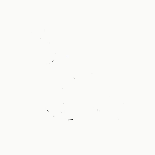 [2H]C([2H])([2H])N1CC/C(=C\F)[C@](C)(COc2nc(N3C[C@H]4CC[C@@H](C3)N4)c3cc(C(F)(F)F)c(-c4c(F)c(C)cc5sc(N)c(C#N)c45)c(F)c3n2)C1